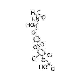 CC(=O)NC[C@@H](O)COc1ccc(S(=O)(=O)c2cc(Cl)c(OC[C@H](O)CCl)c(Cl)c2)cc1